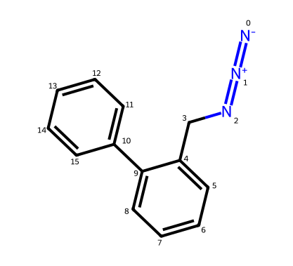 [N-]=[N+]=NCc1ccccc1-c1ccccc1